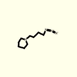 [N-]=[N+]=NCCCCN1CCCCC1